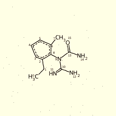 CCc1cccc(C)c1N(C(=N)N)C(N)=O